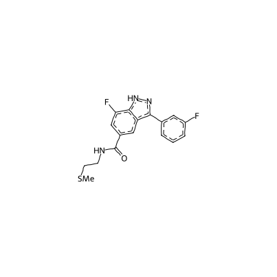 CSCCNC(=O)c1cc(F)c2[nH]nc(-c3cccc(F)c3)c2c1